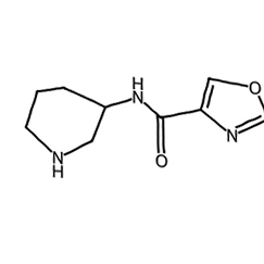 O=C(NC1CCCNC1)c1cocn1